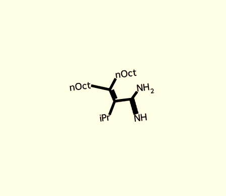 CCCCCCCCC(CCCCCCCC)=C(C(=N)N)C(C)C